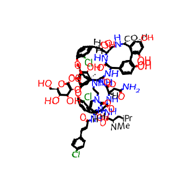 CN[C@H](CC(C)C)C(=O)N[C@H]1C(=O)N[C@@H](CC(N)=O)C(=O)NC2C(=O)NC3C(=O)N[C@H](C(=O)N[C@@H](C(=O)O)c4cc(O)cc(O)c4-c4cc3ccc4O)[C@H](O)c3ccc(c(Cl)c3)Oc3cc2cc(c3OC2O[C@H](CO)[C@@H](O)[C@H](O)[C@H]2O[C@H]2C[C@](C)(NCCn3ccc(NC(=O)/C=C/c4ccc(Cl)cc4)nc3=O)[C@H](O)[C@H](C)O2)Oc2ccc(cc2Cl)[C@H]1O